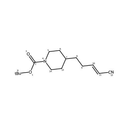 CC(C)(C)OC(=O)N1CCC(CCC=CC#N)CC1